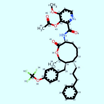 COc1ccnc(C(=O)N[C@H]2CCC[C@H](CCCc3ccccc3)[C@@H](Cc3ccc(OC(F)(F)F)cc3)[C@H](C)OC2=O)c1OC(C)=O